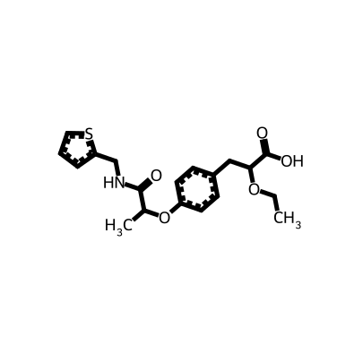 CCOC(Cc1ccc(OC(C)C(=O)NCc2cccs2)cc1)C(=O)O